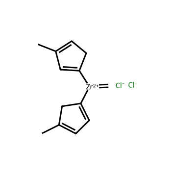 [CH2]=[Zr+2]([C]1=CC(C)=CC1)[C]1=CC=C(C)C1.[Cl-].[Cl-]